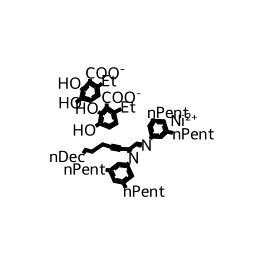 CCCCCCCCCCCCCC#CC(C=Nc1cc(CCCCC)cc(CCCCC)c1)=Nc1cc(CCCCC)cc(CCCCC)c1.CCc1ccc(O)c(O)c1C(=O)[O-].CCc1ccc(O)c(O)c1C(=O)[O-].[Ni+2]